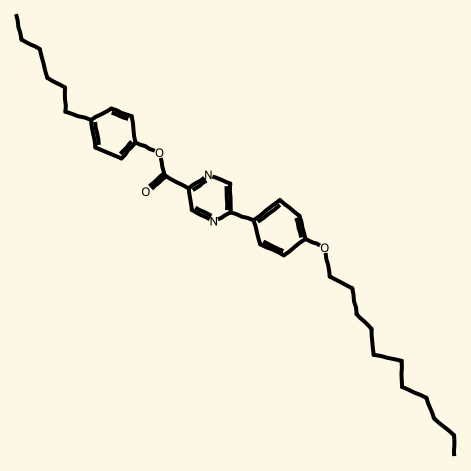 CCCCCCCCCCCOc1ccc(-c2cnc(C(=O)Oc3ccc(CCCCCC)cc3)cn2)cc1